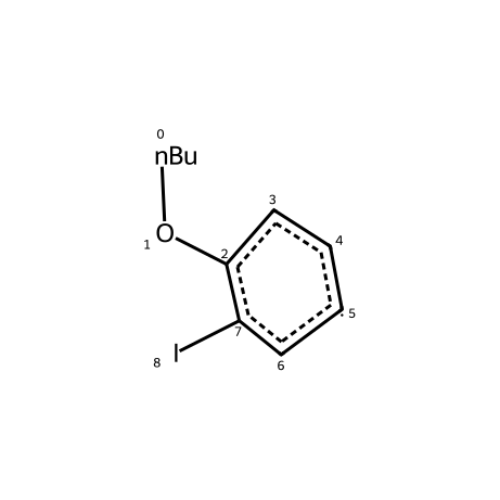 CCCCOc1cc[c]cc1I